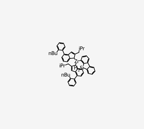 CCCCc1ccccc1-c1cccc2c1C=C(CC(C)C)[CH]2[Zr]([c]1cccc2c1[SiH2]c1ccccc1-2)[CH]1C(CC(C)C)=Cc2c(-c3ccccc3CCCC)cccc21